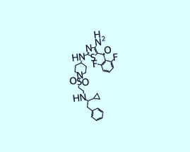 Nc1nc(NC2CCN(S(=O)(=O)CCNC(Cc3ccccc3)C3CC3)CC2)sc1C(=O)c1c(F)cccc1F